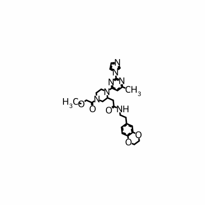 COCC(=O)N1CCN(c2cc(C)nc(-n3ccnc3)n2)C(CC(=O)NCCc2ccc3c(c2)OCCO3)C1